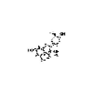 O=c1c(O)c(-c2ccc(O)c(O)c2)oc2cc(O)cc(O)c12.[Pt]